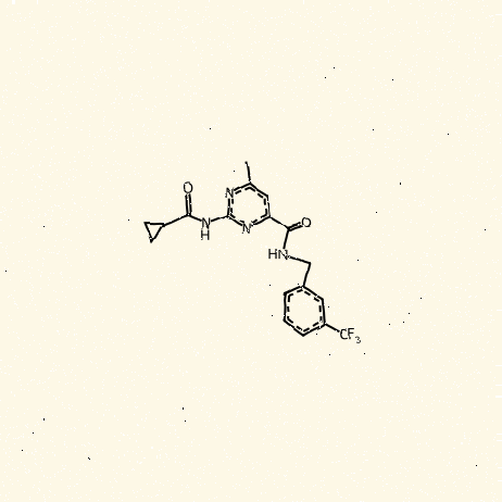 Cc1cc(C(=O)NCc2cccc(C(F)(F)F)c2)nc(NC(=O)C2CC2)n1